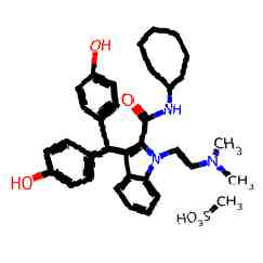 CN(C)CCn1c(C(=O)NC2CCCCCC2)c(C(c2ccc(O)cc2)c2ccc(O)cc2)c2ccccc21.CS(=O)(=O)O